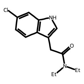 CCN(CC)C(=O)Cc1c[nH]c2cc(Cl)ccc12